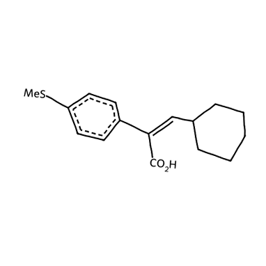 CSc1ccc(C(=CC2CCCCC2)C(=O)O)cc1